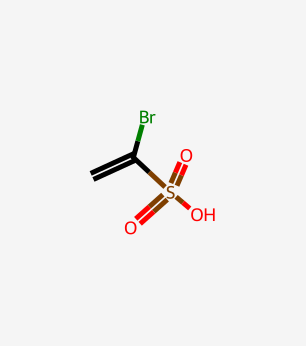 C=C(Br)S(=O)(=O)O